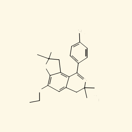 CCOc1cc2c(c3c1OC(C)(C)C3)C(c1ccc(N)cc1)=NC(C)(C)C2.Cl.Cl